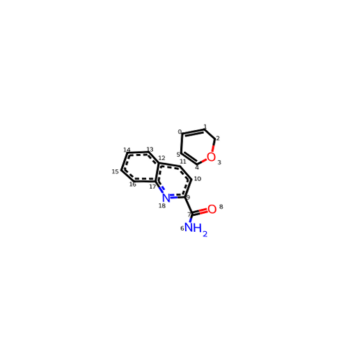 C1=CCOC=C1.NC(=O)c1ccc2ccccc2n1